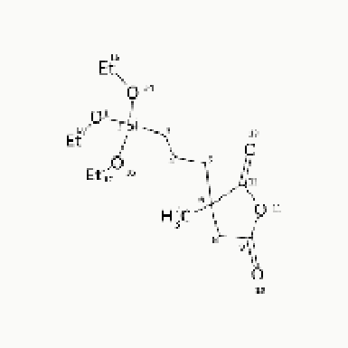 CCO[Si](CCCC1(C)CC(=O)OC1=O)(OCC)OCC